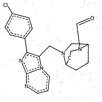 O=CN1CCC2CCC1CN2Cc1c(-c2ccc(Cl)cc2)nc2ncccn12